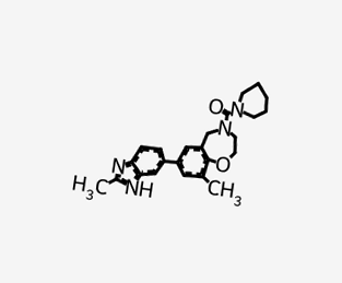 Cc1nc2ccc(-c3cc(C)c4c(c3)CN(C(=O)N3CCCCC3)CCO4)cc2[nH]1